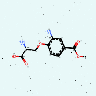 COC(=O)c1ccc(OC[C@H](N)C(=O)O)c(N)c1